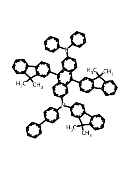 CC1(C)c2ccccc2-c2ccc(-c3c4ccc(N(c5ccc(-c6ccccc6)cc5)c5ccc6c(c5)C(C)(C)c5ccccc5-6)cc4c(-c4ccc5c(c4)C(C)(C)c4ccccc4-5)c4ccc(N(c5ccccc5)c5ccccc5)cc34)cc21